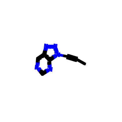 CC#Cn1nnc2cncnc21